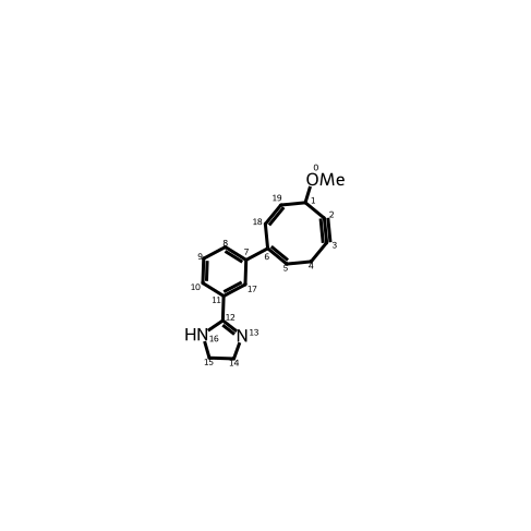 COC1C#CC/C=C(c2cccc(C3=NCCN3)c2)\C=C/1